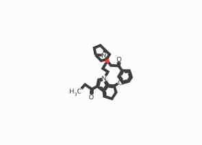 CCC(=O)c1cn(CCCN2C3CCC2CC(CC(=O)c2ccccc2)C3)c2c1=CCCC=2Cl